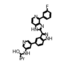 CC(C)C(O)Nc1cncc(-c2ccc3[nH]nc(-c4nc5c(-c6cccc(F)c6)nccc5[nH]4)c3c2)c1